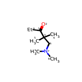 CCC(=O)C(C)(C)CN(C)C